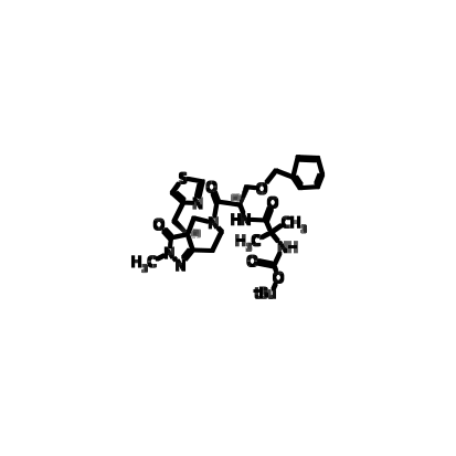 CN1N=C2CCN(C(=O)[C@@H](COCc3ccccc3)NC(=O)C(C)(C)NC(=O)OC(C)(C)C)C[C@@]2(Cc2cscn2)C1=O